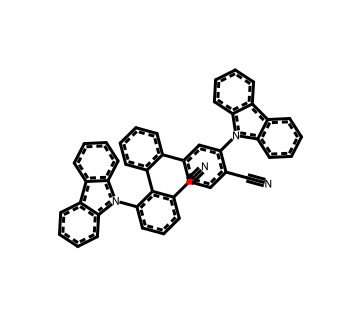 N#Cc1ccc(-c2ccccc2-c2c(C#N)cccc2-n2c3ccccc3c3ccccc32)cc1-n1c2ccccc2c2ccccc21